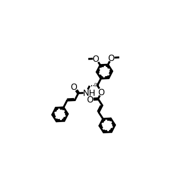 COc1ccc([C@@H](CNC(=O)C=Cc2ccccc2)OC(=O)C=Cc2ccccc2)cc1OC